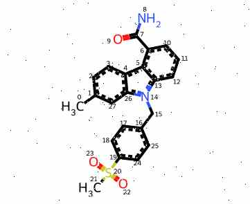 Cc1c[c]c2c3c(C(N)=O)cccc3n(Cc3ccc(S(C)(=O)=O)cc3)c2c1